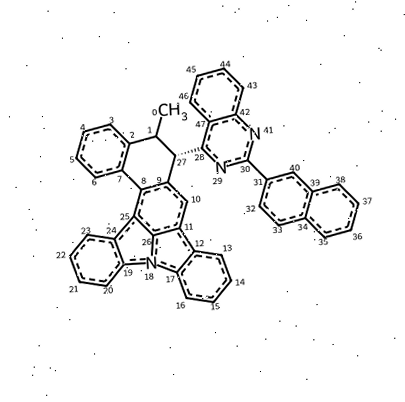 CC1c2ccccc2-c2c(cc3c4ccccc4n4c5ccccc5c2c34)[C@H]1c1nc(-c2ccc3ccccc3c2)nc2ccccc12